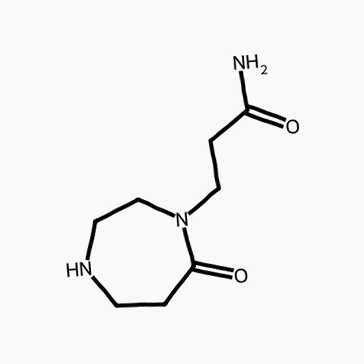 NC(=O)CCN1CCNCCC1=O